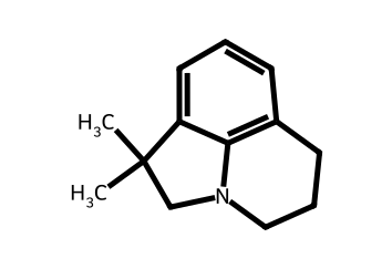 CC1(C)CN2CCCc3cccc1c32